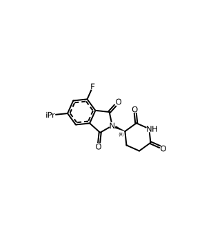 CC(C)c1cc(F)c2c(c1)C(=O)N([C@@H]1CCC(=O)NC1=O)C2=O